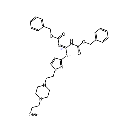 COCCN1CCN(CCn2ccc(N/C(=N/C(=O)OCc3ccccc3)NC(=O)OCc3ccccc3)n2)CC1